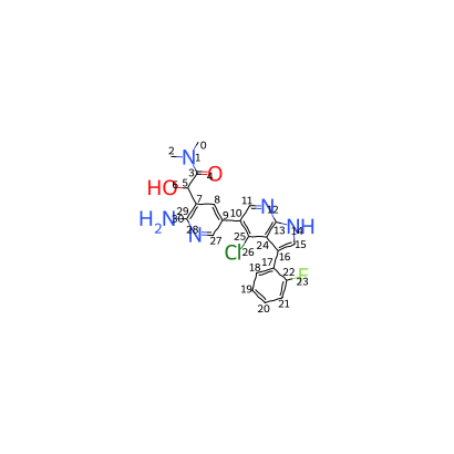 CN(C)C(=O)C(O)c1cc(-c2cnc3[nH]cc(-c4ccccc4F)c3c2Cl)cnc1N